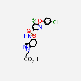 O=C(O)CCn1ncc2c1CCC[C@H]2NS(=O)(=O)c1cnc(Oc2ccc(Cl)cc2)c(Br)c1